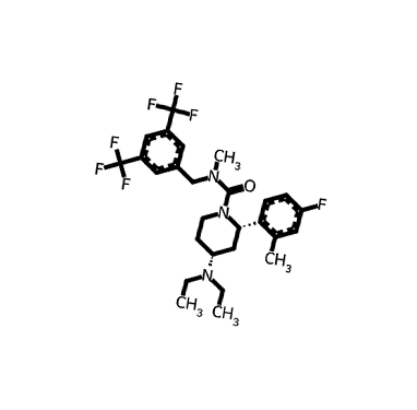 CCN(CC)[C@@H]1CCN(C(=O)N(C)Cc2cc(C(F)(F)F)cc(C(F)(F)F)c2)[C@H](c2ccc(F)cc2C)C1